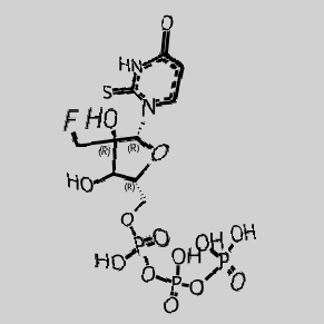 O=c1ccn([C@@H]2O[C@H](COP(=O)(O)OP(=O)(O)OP(=O)(O)O)C(O)[C@]2(O)CF)c(=S)[nH]1